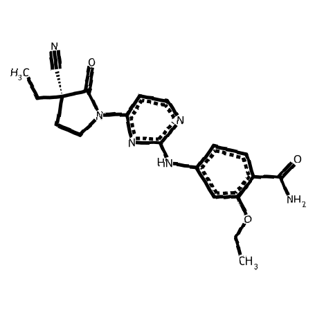 CCOc1cc(Nc2nccc(N3CC[C@@](C#N)(CC)C3=O)n2)ccc1C(N)=O